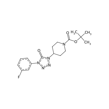 CC(C)(C)OC(=O)N1CCC(n2nnn(-c3cccc(F)c3)c2=O)CC1